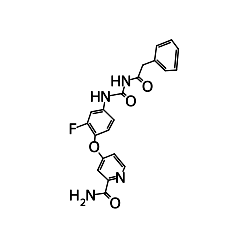 NC(=O)c1cc(Oc2ccc(NC(=O)NC(=O)Cc3ccccc3)cc2F)ccn1